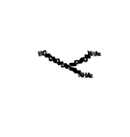 CCOCCOCCOCCOCCN(CCCCNC(C)=O)CCOCCOCCNC(C)=O